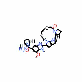 COc1cc(C(=O)N2[C@H]3CC[C@@H]2[C@H](N)C3)cc2nc(-c3cc4ccc5nc4n3CCCCCCCC(=O)N3CCC[C@H]53)n(C)c12